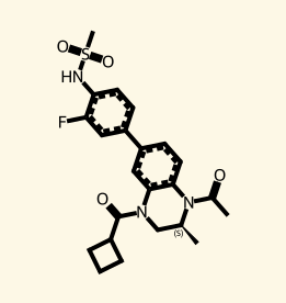 CC(=O)N1c2ccc(-c3ccc(NS(C)(=O)=O)c(F)c3)cc2N(C(=O)C2CCC2)C[C@@H]1C